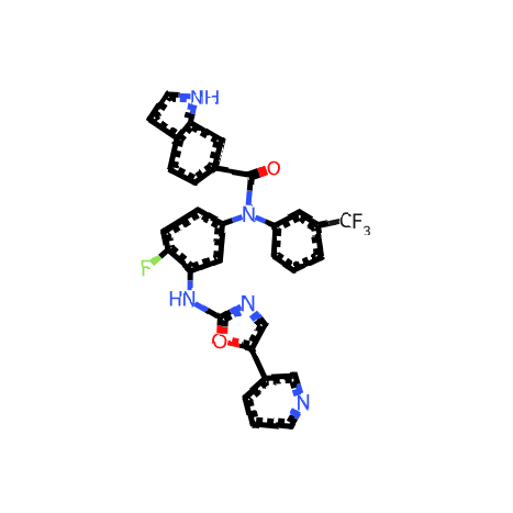 O=C(c1ccc2cc[nH]c2c1)N(c1cccc(C(F)(F)F)c1)c1ccc(F)c(Nc2ncc(-c3cccnc3)o2)c1